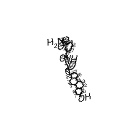 C[C@]12CCC3c4ccc(O)cc4CCC3C1CC[C@@H]2OC(=O)CNC(=O)c1cccc(S(N)(=O)=O)c1